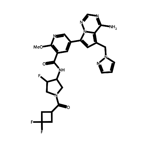 COc1ncc(-c2cc(Cn3cccn3)c3c(N)ncnn23)cc1C(=O)NC1CN(C(=O)C2CC(F)(F)C2)CC1F